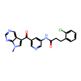 Cn1cc(C(=O)c2cncc(NC(=O)CCc3ccccc3Cl)c2)c2cncnc21